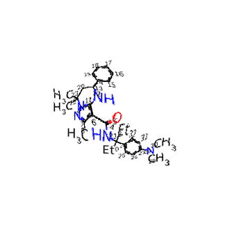 CCC(CC)(NC(=O)c1c(C)nn2c1NC(c1ccccc1)CC2(C)C)c1ccc(N(C)C)cc1